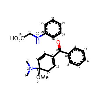 COC1(N(C)C)C=CC(C(=O)c2ccccc2)=CC1.O=C(O)CNc1ccccc1